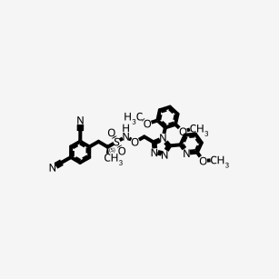 COc1cccc(-c2nnc(CONS(=O)(=O)[C@@H](C)Cc3ccc(C#N)cc3C#N)n2-c2c(OC)cccc2OC)n1